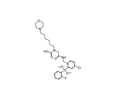 COC(OC)(c1ccccc1F)c1cc(Cl)ccc1CNC(=O)CN(CCCCCCN1CCOCC1)C(=O)O